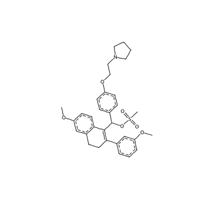 COc1cccc(C2=C(C(OS(C)(=O)=O)c3ccc(OCCN4CCCC4)cc3)c3ccc(OC)cc3CC2)c1